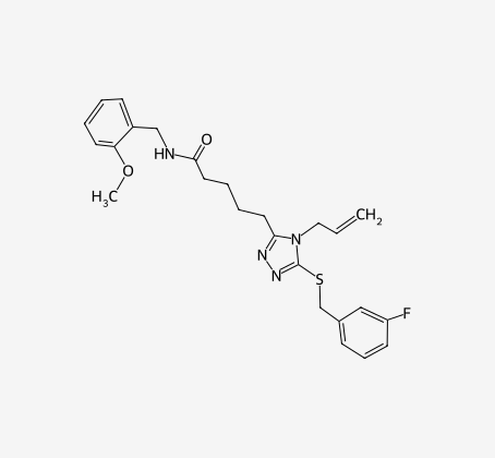 C=CCn1c(CCCCC(=O)NCc2ccccc2OC)nnc1SCc1cccc(F)c1